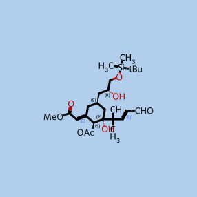 COC(=O)/C=C1\C[C@@H](C[C@@H](O)CO[Si](C)(C)C(C)(C)C)C[C@@](O)(C(C)(C)/C=C/C=O)[C@H]1OC(C)=O